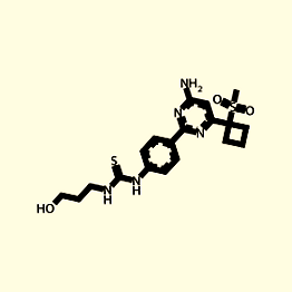 CS(=O)(=O)C1(c2cc(N)nc(-c3ccc(NC(=S)NCCCO)cc3)n2)CCC1